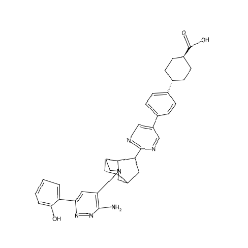 Nc1nnc(-c2ccccc2O)cc1N1CC2CC(c3ncc(-c4ccc([C@H]5CC[C@H](C(=O)O)CC5)cc4)cn3)C3C(CC23)C1